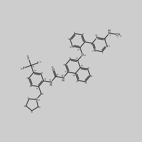 CNc1ncnc(-c2cccnc2Oc2ccc(NC(=O)Nc3cc(C(F)(F)F)ccc3CN3CCCC3)c3ccccc23)n1